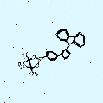 CC1(C)OB(c2ccc(-c3cccc(-n4c5ccccc5c5ccccc54)c3)cc2)OC1(C)C